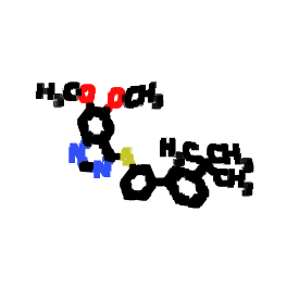 COc1cc2ncnc(Sc3cccc(-c4cccc(C(C)(C)C)c4)c3)c2cc1OC